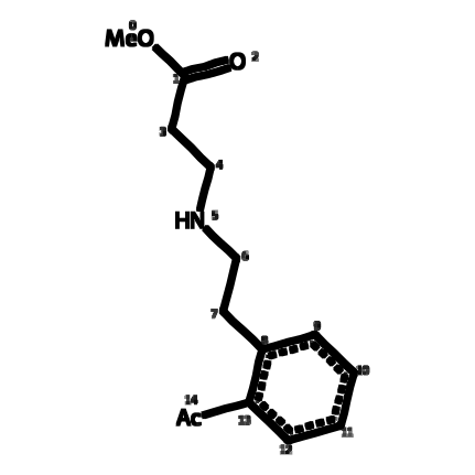 COC(=O)CCNCCc1ccccc1C(C)=O